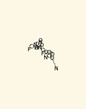 CN(C)CCCCCCOc1cc2c(c3c1OCCO3)C(Oc1ccc(NC(=O)c3c(N=O)ccn(C4=CC=C(F)C=C=C4)c3=O)cc1F)CC=N2